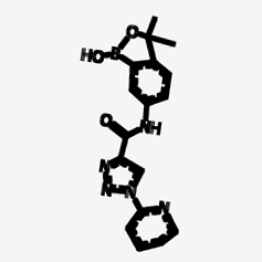 CC1(C)OB(O)c2cc(NC(=O)c3cn(-c4ccccn4)nn3)ccc21